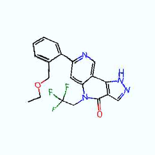 CCOCc1ccccc1-c1cc2c(cn1)c1[nH]ncc1c(=O)n2CC(F)(F)F